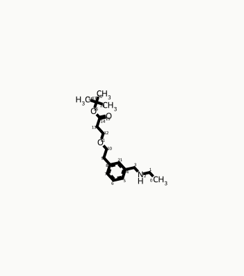 CCNCc1cccc(CCOCCC(=O)OC(C)(C)C)c1